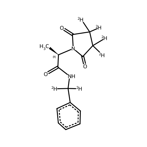 [2H]C([2H])(NC(=O)[C@@H](C)N1C(=O)C([2H])([2H])C([2H])([2H])C1=O)c1ccccc1